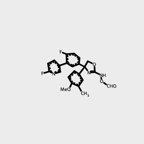 COc1ccc(C2(c3ccc(F)c(-c4ccc(F)nc4)c3)COC(NOC=O)=N2)cc1C